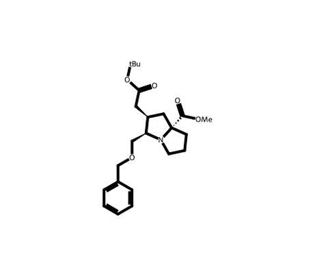 COC(=O)[C@]12CCCN1[C@@H](COCc1ccccc1)[C@@H](CC(=O)OC(C)(C)C)C2